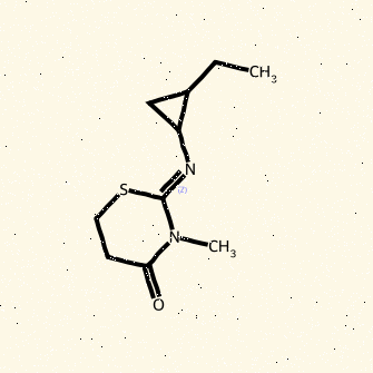 CCC1CC1/N=C1\SCCC(=O)N1C